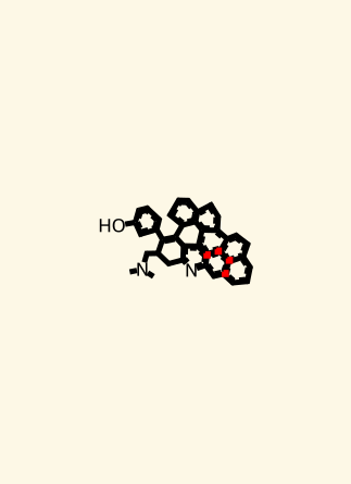 CN(C)CC1Cc2nc3ccccc3cc2C(c2cccc3ccc4c5ccc6ccccc6c5ccc4c23)=C1c1cccc(O)c1